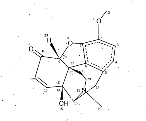 COc1ccc2c3c1O[C@H]1C(=O)C=C[C@@]4(O)C(C2)N(C)CC[C@]314